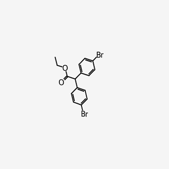 CCOC(=O)C(c1ccc(Br)cc1)c1ccc(Br)cc1